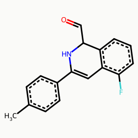 Cc1ccc(C2=Cc3c(F)cccc3C(C=O)N2)cc1